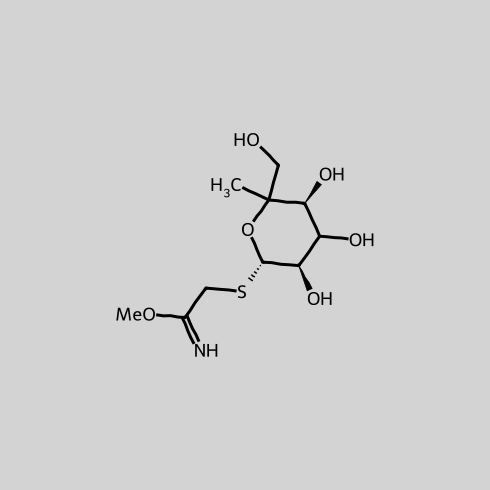 COC(=N)CS[C@@H]1OC(C)(CO)[C@@H](O)C(O)[C@H]1O